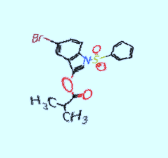 CC(C)C(=O)Oc1cn(S(=O)(=O)c2ccccc2)c2ccc(Br)cc12